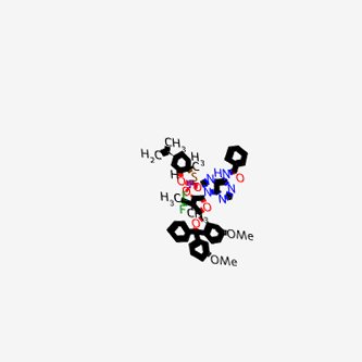 C=C(C)[C@@H]1CC[C@]2(C)S[P@@](=O)(O[C@H]3[C@H](n4cnc5c(NC(=O)c6ccccc6)ncnc54)O[C@H](COC(c4ccccc4)(c4ccc(OC)cc4)c4cccc(OC)c4)[C@@]3(C)C(C)(F)F)O[C@H]2C1